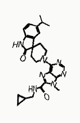 CC(C)c1ccc2c(c1)C1(CCN(c3ncnc4c3nc(C(=O)NCC3CC3)n4C)CC1)C(=O)N2